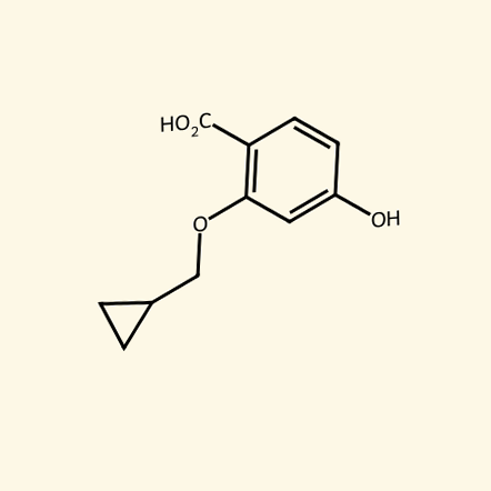 O=C(O)c1ccc(O)cc1OCC1CC1